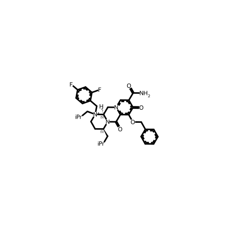 CC(C)C[C@H]1CC[N+](Cc2ccc(F)cc2F)(CC(C)C)[C@H]2Cn3cc(C(N)=O)c(=O)c(OCc4ccccc4)c3C(=O)N12